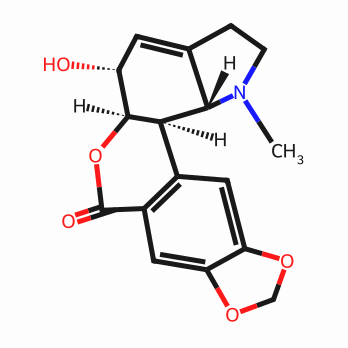 CN1CCC2=C[C@@H](O)[C@@H]3OC(=O)c4cc5c(cc4[C@@H]3[C@H]21)OCO5